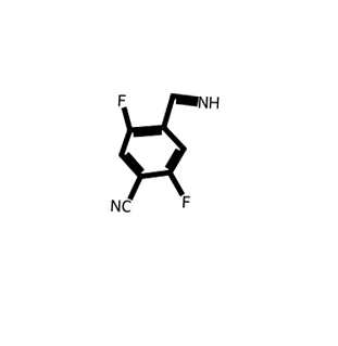 N#Cc1cc(F)c(C=N)cc1F